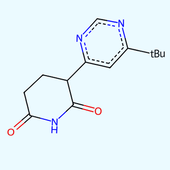 CC(C)(C)c1cc(C2CCC(=O)NC2=O)ncn1